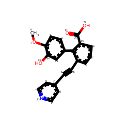 COc1ccc(-c2c(C#Cc3ccncc3)cccc2C(=O)O)cc1O